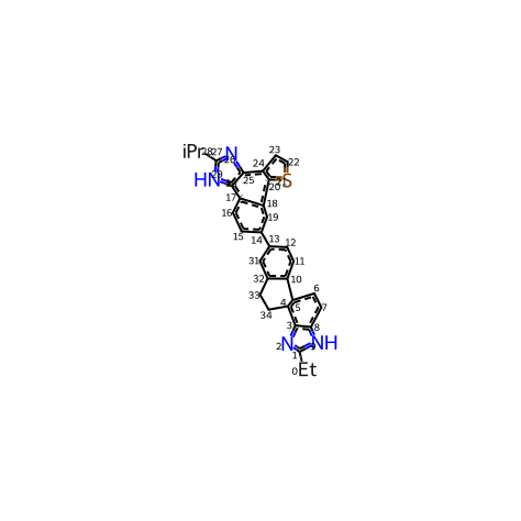 CCc1nc2c3c(ccc2[nH]1)-c1ccc(-c2ccc4c(c2)c2sccc2c2nc(C(C)C)[nH]c42)cc1CC3